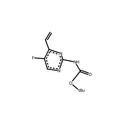 C=Cc1nc(NC(=O)OC(C)(C)C)ncc1F